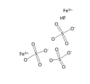 F.O=S(=O)([O-])[O-].O=S(=O)([O-])[O-].O=S(=O)([O-])[O-].[Fe+3].[Fe+3]